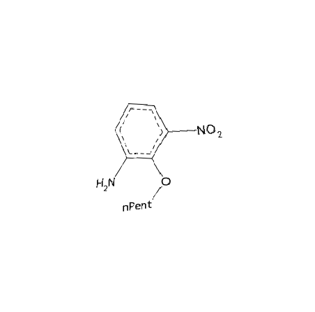 CCCCCOc1c(N)cccc1[N+](=O)[O-]